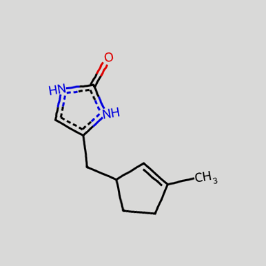 CC1=CC(Cc2c[nH]c(=O)[nH]2)CC1